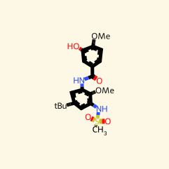 COc1ccc(C(=O)Nc2cc(C(C)(C)C)cc(NS(C)(=O)=O)c2OC)cc1O